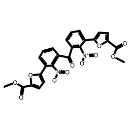 COC(=O)c1ccc(-c2cccc(C(=O)c3cccc(-c4ccc(C(=O)OC)o4)c3[N+](=O)[O-])c2[N+](=O)[O-])o1